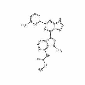 COC(=O)Nc1nccc2c(-c3nc(-c4cccc(C)n4)nc4[nH]cnc34)cn(C)c12